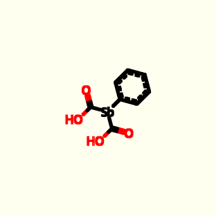 O=[C](O)[Sb]([C](=O)O)[c]1ccccc1